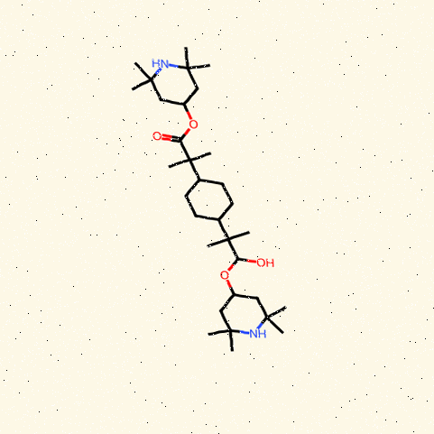 CC1(C)CC(OC(=O)C(C)(C)C2CCC(C(C)(C)C(O)OC3CC(C)(C)NC(C)(C)C3)CC2)CC(C)(C)N1